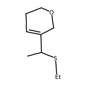 CCSC(C)C1=CCCOC1